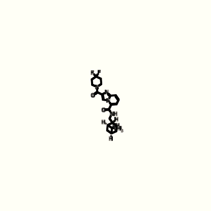 CC1(C)[C@H]2CC[C@@H](CNC(=O)c3cccc4nc(C(=O)N5CCC(F)(F)CC5)cn34)[C@@H]1C2